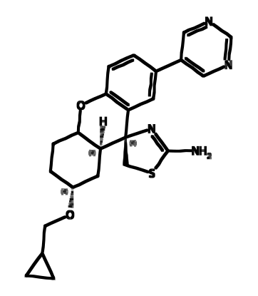 NC1=N[C@@]2(CS1)c1cc(-c3cncnc3)ccc1OC1CC[C@@H](OCC3CC3)C[C@@H]12